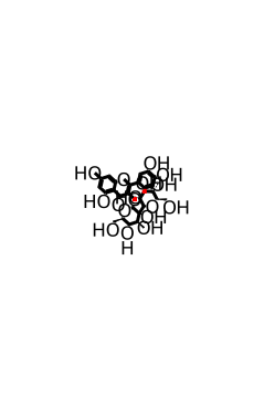 O=c1c(O[C@@H]2O[C@H](CO)[C@H](O)[C@H](O)[C@]2(O)[C@@H]2O[C@H](CO)[C@@H](O)[C@H](O)[C@H]2O)c(-c2ccc(O)c(O)c2)oc2cc(O)cc(O)c12